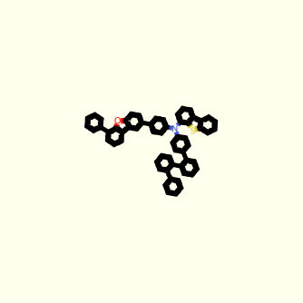 c1ccc(-c2ccccc2-c2ccccc2-c2ccc(N(c3ccc(-c4ccc5oc6c(-c7ccccc7)cccc6c5c4)cc3)c3cccc4c3sc3ccccc34)cc2)cc1